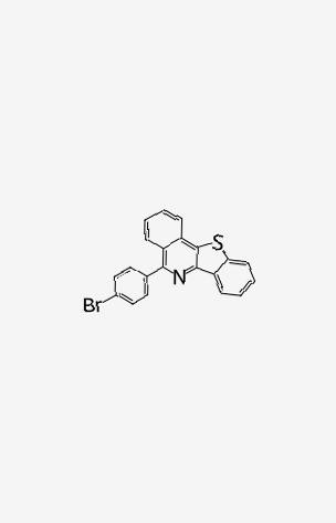 Brc1ccc(-c2nc3c4ccccc4sc3c3ccccc23)cc1